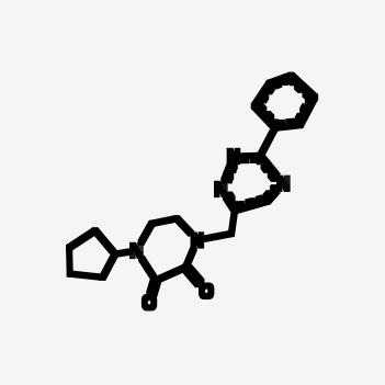 O=C1C(=O)N(C2CCCC2)CCN1Cc1cnc(-c2ccccc2)nn1